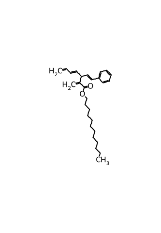 C=CC=CC(C=Cc1ccccc1)C(=C)C(=O)OCCCCCCCCCCCC